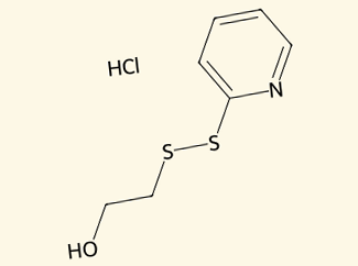 Cl.OCCSSc1ccccn1